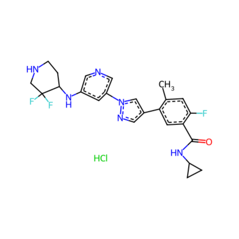 Cc1cc(F)c(C(=O)NC2CC2)cc1-c1cnn(-c2cncc(NC3CCNCC3(F)F)c2)c1.Cl